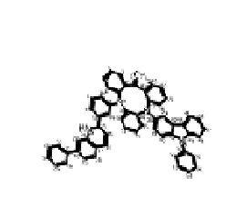 C=C1c2ccccc2N(c2cccc(C3C=Cc4ccc(-c5ccccc5)cc4N3)c2)c2ccccc2N(c2ccc3c(c2)c2ccccc2n3-c2ccccc2)c2ccccc21